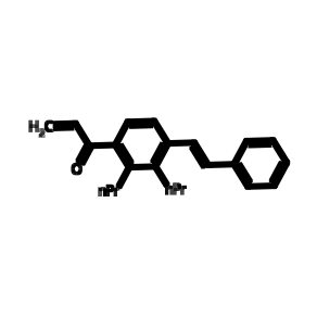 C=CC(=O)c1ccc(C=Cc2ccccc2)c(CCC)c1CCC